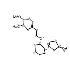 COC1=CC=C(CCO[C@H]2CCCC[C@H]2N2CC[C@@H](O)C2)CC1OC